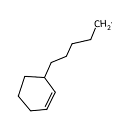 [CH2]CCCCC1C=CCCC1